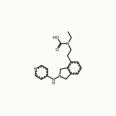 CCN(CCc1cccc2c1CN(Nc1ccncc1)C2)C(=O)O